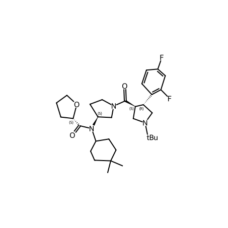 CC1(C)CCC(N(C(=O)[C@@H]2CCCO2)[C@H]2CCN(C(=O)[C@@H]3CN(C(C)(C)C)C[C@H]3c3ccc(F)cc3F)C2)CC1